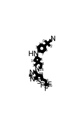 CC(C)(C#N)c1ccc(NC2CC3(CCN(c4ncnc5sc(CC(F)(F)F)cc45)C3)C2)cc1